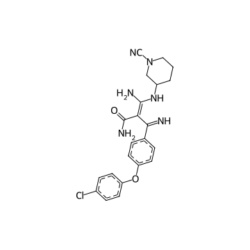 N#CN1CCCC(N/C(N)=C(\C(=N)c2ccc(Oc3ccc(Cl)cc3)cc2)C(N)=O)C1